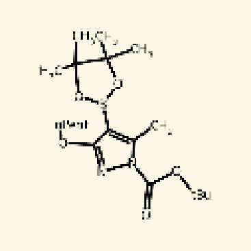 CCCCCOc1nn(C(=O)OC(C)(C)C)c(C)c1B1OC(C)(C)C(C)(C)O1